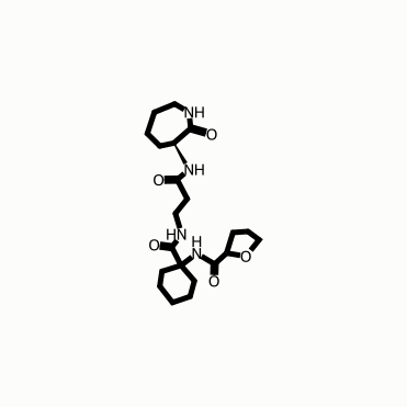 O=C(CCNC(=O)C1(NC(=O)C2CCCO2)CCCCC1)N[C@H]1CCCCNC1=O